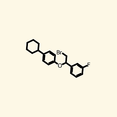 Fc1cccc(C(CBr)Oc2ccc(C3CCCCC3)cc2)c1